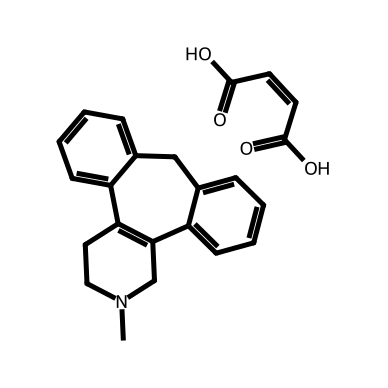 CN1CCC2=C(C1)c1ccccc1Cc1ccccc12.O=C(O)/C=C\C(=O)O